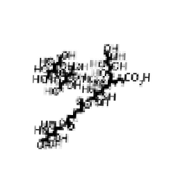 O=C(O)CCC[C@](CC(O)[C@@H](O)[C@H](O)[C@H](O)CO)(C[C@@H](O)[C@@H](O)[C@H](O)[C@@H](O)COC(=O)CCCCC(=O)OC[C@@H](O)[C@@H](O)[C@H](O)[C@@H](O)CO)C(=O)O.OC[C@@H](O)[C@@H](O)[C@H](O)[C@@H](O)CO.OC[C@@H](O)[C@@H](O)[C@H](O)[C@@H](O)CO